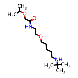 CC(C)OCC(=O)NCCOCCCCCNC(C)(C)C